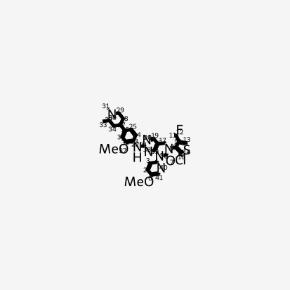 COc1ccc(N2C(=O)N(c3c(CF)csc3Cl)Cc3cnc(Nc4ccc(C5CCN(C)C(C)C5)cc4OC)nc32)nc1